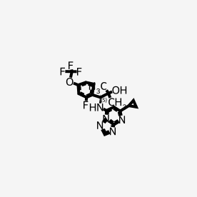 CC(C)(O)[C@@H](Nc1cc(C2CC2)nc2ncnn12)c1ccc(OC(F)(F)F)cc1F